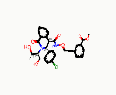 COC(=O)c1cccc(CONC(=O)[C@@H]2c3ccccc3C(=O)N([C@@H](CO)[C@H](C)O)[C@H]2c2ccc(Cl)cc2)c1